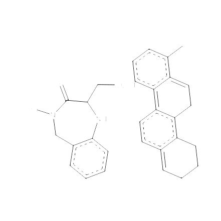 CN1Cc2ccccc2NC(CC(=O)O)C1=O.Ic1cccc2c1=CCc1c3c(ccc1=2)=CCCC3